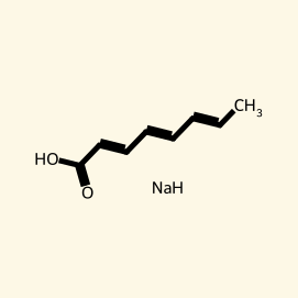 C/C=C/C=C/C=C/C(=O)O.[NaH]